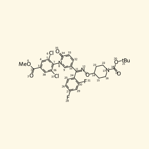 COC(=O)c1cc(Cl)c(-n2cc(C(=NOC3CCN(C(=O)OC(C)(C)C)CC3)c3ccc(F)cc3F)ccc2=O)c(Cl)c1